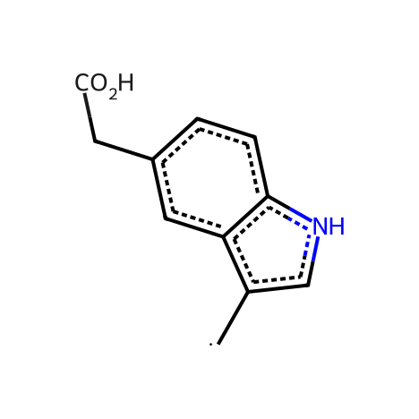 [CH2]c1c[nH]c2ccc(CC(=O)O)cc12